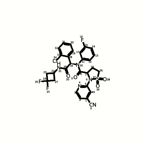 N#Cc1ccnc(N2C(C(=O)N(c3cccc(F)c3)[C@@H](C(=O)NC3CC(F)(F)C3)c3ccccc3Cl)CCS2(=O)=O)c1